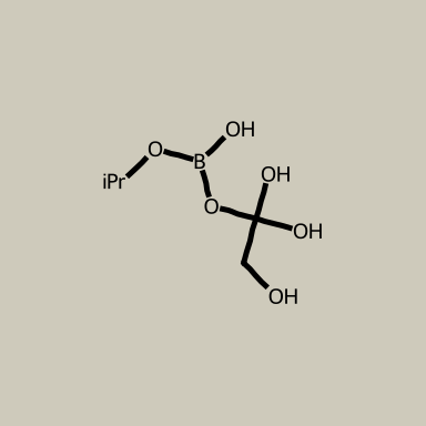 CC(C)OB(O)OC(O)(O)CO